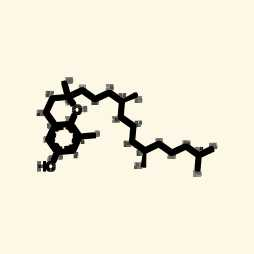 Cc1cc(O)cc2c1OC(C)(CCC[C@@H](C)CCC[C@H](C)CCCC(C)C)CC2